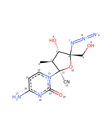 C[C@H]1[C@H](O)[C@](CO)(N=[N+]=[N-])O[C@@]1(C#N)n1ccc(N)nc1=O